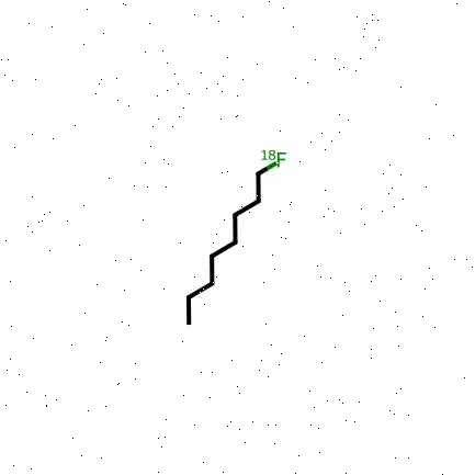 CCCCCCCC[18F]